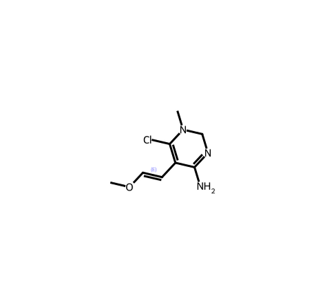 CO/C=C/C1=C(Cl)N(C)CN=C1N